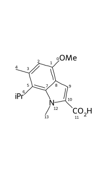 COc1cc(C)c(C(C)C)c2c1cc(C(=O)O)n2C